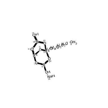 O.O.O.O.O.OB1OB2OB(O)OB(O1)O2.[NaH]